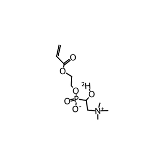 [2H]OC(C[N+](C)(C)C)P(=O)([O-])OCCOC(=O)C=C